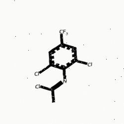 CC(Cl)=Nc1c(Cl)cc(C(F)(F)F)cc1Cl